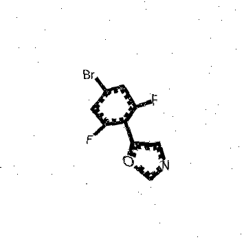 Fc1cc(Br)cc(F)c1-c1cnco1